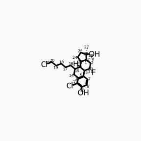 C[C@]12C[C@H](F)C3c4ccc(O)c(Cl)c4CC(CCCCCCl)[C@H]3C1CC[C@@]2(C)O